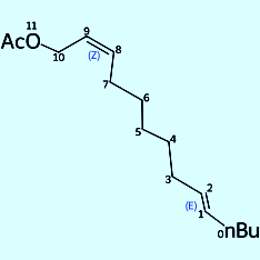 CCCC/C=C/CCCCC/C=C\COC(C)=O